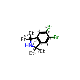 CCC1(CC)NC(CC)(CC)c2cc(Br)c(Br)cc21